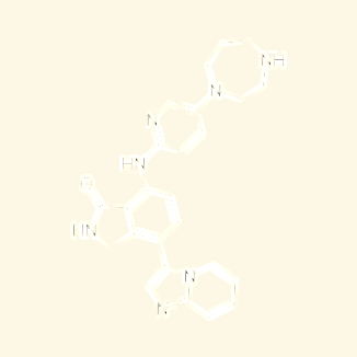 O=C1NCc2c(-c3cnc4ccccn34)ccc(Nc3ccc(N4CCCNCC4)cn3)c21